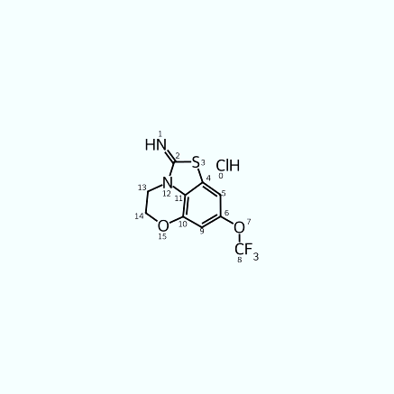 Cl.N=c1sc2cc(OC(F)(F)F)cc3c2n1CCO3